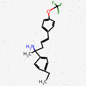 CCc1ccc(C(C)(N)C/C=C/c2ccc(OC(F)(F)F)cc2)cc1